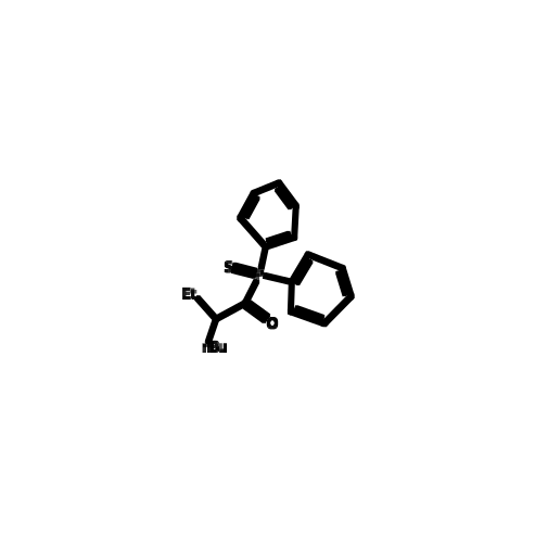 CCCCC(CC)C(=O)P(=S)(c1ccccc1)c1ccccc1